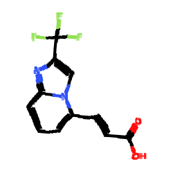 O=C(O)/C=C/c1cccc2nc(C(F)(F)F)cn12